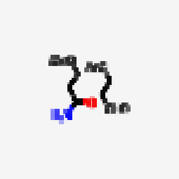 CC(=O)OCCC=O.COCCC(N)=O